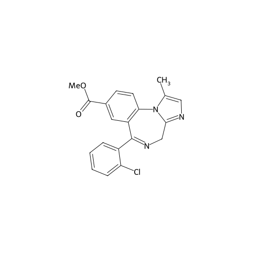 COC(=O)c1ccc2c(c1)C(c1ccccc1Cl)=NCc1ncc(C)n1-2